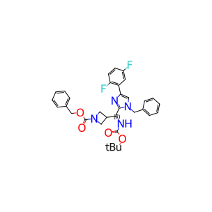 CC(C)(C)OC(=O)N[C@@H](c1nc(-c2cc(F)ccc2F)cn1Cc1ccccc1)C1CN(C(=O)OCc2ccccc2)C1